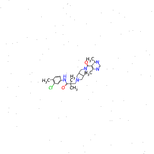 Cc1ccc(NC(=O)C(C)(C)CN2CC3CN(C(=O)c4c(C)ncnc4C)CC3C2)cc1Cl